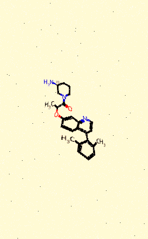 Cc1cccc(C)c1-c1ccnc2cc(OC(C)C(=O)N3CCC[C@H](N)C3)ccc12